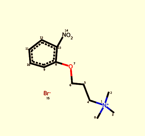 C[N+](C)(C)CCCOc1ccccc1[N+](=O)[O-].[Br-]